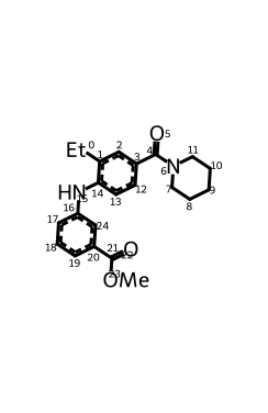 CCc1cc(C(=O)N2CCCCC2)ccc1Nc1cccc(C(=O)OC)c1